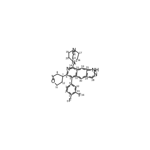 Fc1ccc(-c2c(C3CCOCC3)nc([N+]34CCN(CC3)CC4)c3cc4[nH]ncc4cc23)cc1F